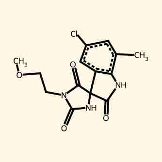 COCCN1C(=O)NC2(C(=O)Nc3c(C)cc(Cl)cc32)C1=O